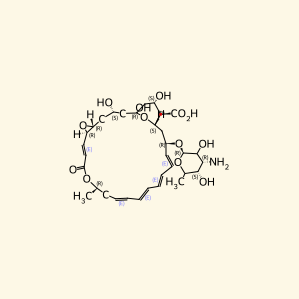 CC1O[C@@H](O[C@H]2/C=C/C=C/C=C/C=C/C[C@@H](C)OC(=O)/C=C/[C@H]3O[C@@H]3C[C@H](O)C[C@]3(O)C[C@H](O)[C@@H](C(=O)O)[C@H](C2)O3)C(O)[C@H](N)[C@@H]1O